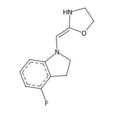 Fc1cccc2c1CCN2C=C1NCCO1